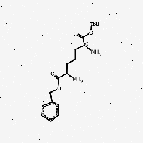 CC(C)(C)OC(=O)[C@@H](N)CCCC(N)C(=O)OCc1ccccc1